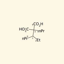 CCCC(CC)C(CCC)(C(=O)O)C(=O)O